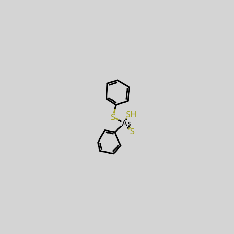 S=[As](S)(Sc1ccccc1)c1ccccc1